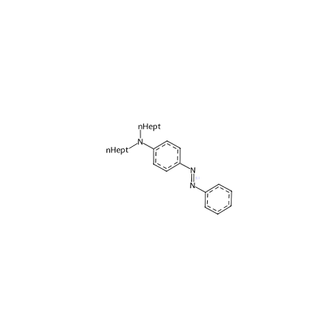 CCCCCCCN(CCCCCCC)c1ccc(/N=N/c2ccccc2)cc1